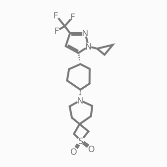 O=S1(=O)CC2(CCN([C@H]3CC[C@@H](c4cc(C(F)(F)F)nn4C4CC4)CC3)CC2)C1